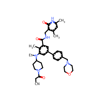 CCN(c1cc(-c2ccc(CN3CCOCC3)cc2)cc(C(=O)NCc2c(C)cc(C)[nH]c2=O)c1C)C1CCN(C(=O)CC#N)CC1